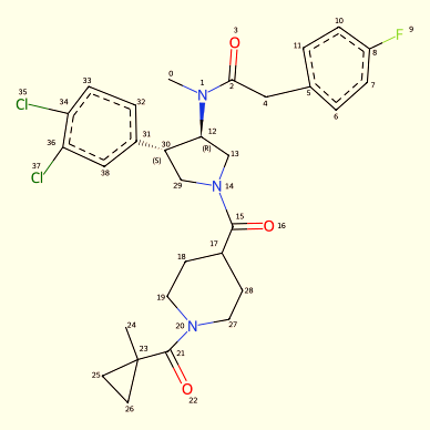 CN(C(=O)Cc1ccc(F)cc1)[C@H]1CN(C(=O)C2CCN(C(=O)C3(C)CC3)CC2)C[C@@H]1c1ccc(Cl)c(Cl)c1